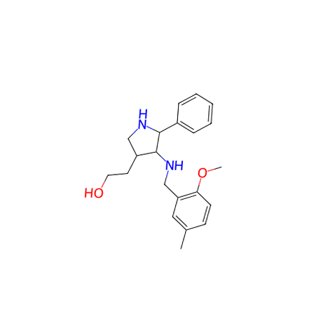 COc1ccc(C)cc1CNC1C(CCO)CNC1c1ccccc1